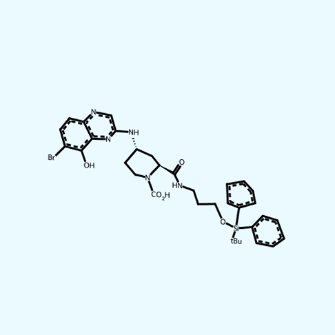 CC(C)(C)[Si](OCCCNC(=O)[C@@H]1C[C@@H](Nc2cnc3ccc(Br)c(O)c3n2)CCN1C(=O)O)(c1ccccc1)c1ccccc1